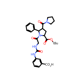 CC(C)(C)OC(=O)C1CC(C(=O)N2CCCC2)C(c2ccccc2)N1C(=O)CNC(=O)Nc1cccc(C(=O)O)c1